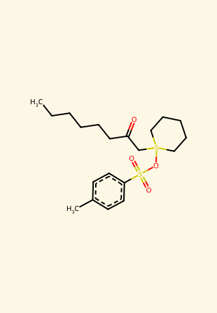 CCCCCCC(=O)CS1(OS(=O)(=O)c2ccc(C)cc2)CCCCC1